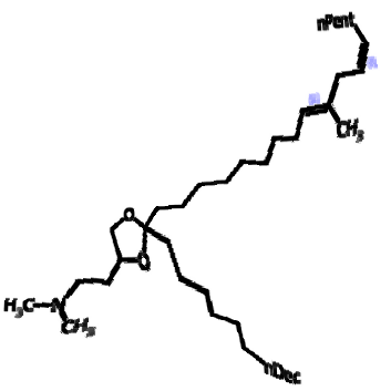 CCCCC/C=C\C/C(C)=C/CCCCCCCCC1(CCCCCCCCCCCCCCCC)OCC(CCN(C)C)O1